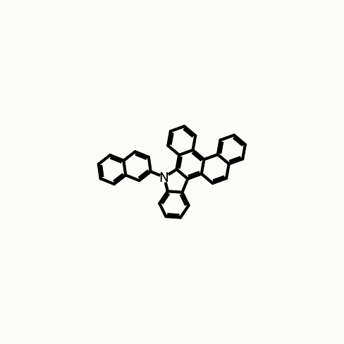 c1ccc2cc(-n3c4ccccc4c4c5ccc6ccccc6c5c5ccccc5c43)ccc2c1